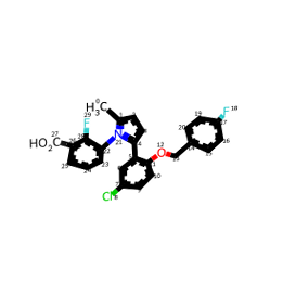 Cc1ccc(-c2cc(Cl)ccc2OCc2ccc(F)cc2)n1-c1cccc(C(=O)O)c1F